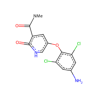 CNC(=O)c1cc(Oc2c(Cl)cc(N)cc2Cl)c[nH]c1=O